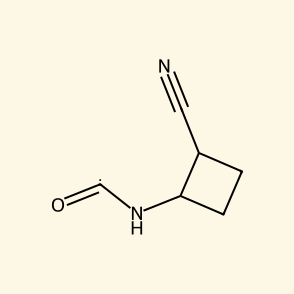 N#CC1CCC1N[C]=O